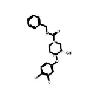 O=C(OCc1ccccc1)N1CC[C@H](Oc2ccc(Cl)c(Cl)c2)[C@@H](O)C1